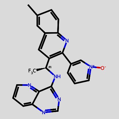 Cc1ccc2nc(-c3ccc[n+]([O-])c3)c([C@@H](Nc3ncnc4cccnc34)C(F)(F)F)cc2c1